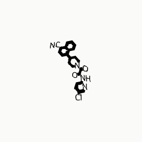 N#Cc1ccc(C2CCN(C(=O)C(=O)Nc3ccc(Cl)cn3)CC2)c2ccccc12